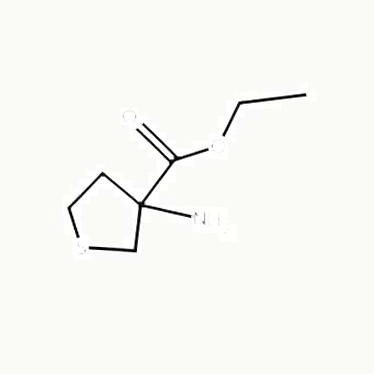 CCOC(=O)C1(N)CCSC1